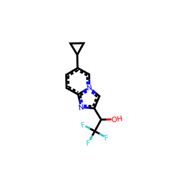 OC(c1cn2cc(C3CC3)ccc2n1)C(F)(F)F